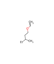 C=COCCC(C)CC